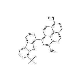 CC(C)(C)c1cccc2c1oc1c(-c3cc(N)c4ccc5ccc(N)c6ccc3c4c56)cccc12